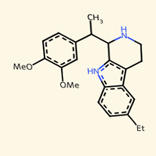 CCc1ccc2[nH]c3c(c2c1)CCNC3C(C)c1ccc(OC)c(OC)c1